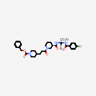 CCOC(=O)[C@@](C)(NC(=O)c1ccc(Cl)cc1)NC(=O)[C@@H]1CCCN(C(=O)CCC2CCN(C(=O)OCc3ccccc3)CC2)C1